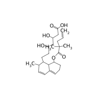 C=CCC(C)(C)C(=O)OC1CCC=C2C=CC(C)C(CCC(O)CC(O)CC(=O)O)C21